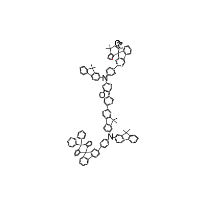 CC1(C)c2ccccc2-c2ccc(N(c3ccc(-c4ccc5c(c4)C4(c6ccccc6-5)c5ccccc5C(c5ccccc5)(c5ccccc5)c5ccccc54)cc3)c3ccc4c(c3)C(C)(C)c3cc(-c5ccc6c(c5)oc5cc(N(c7ccc(-c8ccc9c(c8)C8(c%10ccccc%10-9)c9ccccc9C(C)(C)c9ccccc98)cc7)c7ccc8c(c7)C(C)(C)c7ccccc7-8)ccc56)ccc3-4)cc21